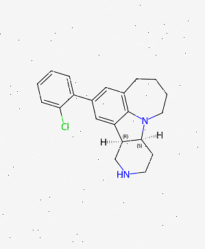 Clc1ccccc1-c1cc2c3c(c1)[C@@H]1CNCC[C@@H]1N3CCCC2